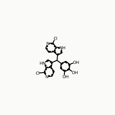 Oc1cc(C(c2c[nH]c3c(Cl)nccc23)c2c[nH]c3c(Cl)nccc23)cc(O)c1O